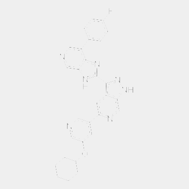 Fc1ccc(-c2cncc3[nH]c(-c4n[nH]c5cnc(-c6cncc(OC7CCCCC7)c6)cc45)nc23)cc1